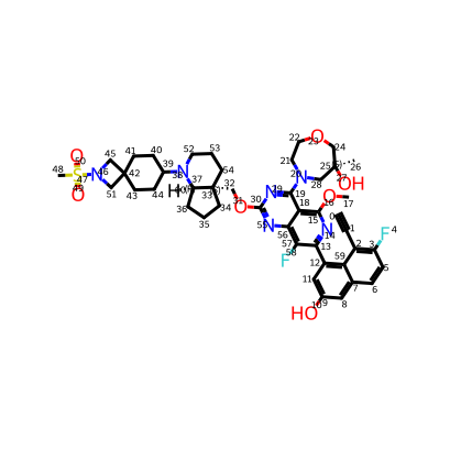 C#Cc1c(F)ccc2cc(O)cc(-c3nc(OC)c4c(N5CCOC[C@@](C)(O)C5)nc(OC[C@]56CCC[C@H]5N(C5CCC7(CC5)CN(S(C)(=O)=O)C7)CCC6)nc4c3F)c12